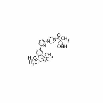 CC(CO)(CO)C(=O)N1CCN(c2cccc(-c3ccc4c(c3)C(C)(C)CCC4(C)C)n2)CC1